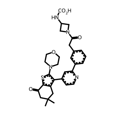 CC1(C)CC(=O)c2sc(N3CCOCC3)c(-c3ccnc(-c4cccc(CC(=O)N5CC(NC(=O)O)C5)c4)c3)c2C1